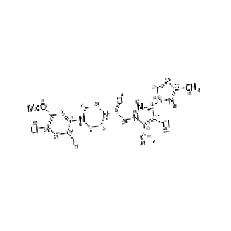 COc1cc(N2CCN(C(=O)Cn3nc(-n4ccc(C)n4)c(Cl)c3C)CC2)c(F)cc1Cl